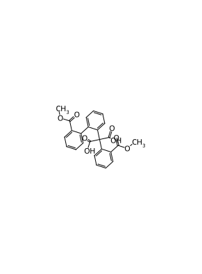 COC(=O)c1ccccc1-c1ccccc1C(C(=O)O)(C(=O)O)c1ccccc1C(=O)OC